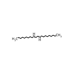 CCCCCCCCCNCCNCCCCCCCCC